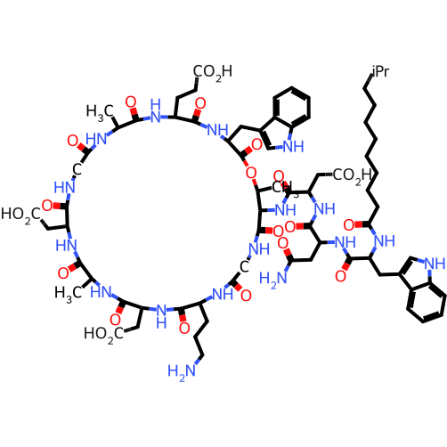 CC(C)CCCCCCCCC(=O)NC(Cc1c[nH]c2ccccc12)C(=O)NC(CC(N)=O)C(=O)NC(CC(=O)O)C(=O)NC1C(=O)NCC(=O)NC(CCCN)C(=O)NC(CC(=O)O)C(=O)NC(C)C(=O)NC(CC(=O)O)C(=O)NCC(=O)NC(C)C(=O)NC(CCC(=O)O)C(=O)NC(Cc2c[nH]c3ccccc23)C(=O)OC1C